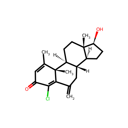 C=C1C[C@@H]2[C@H](CC[C@]3(C)[C@@H](O)CC[C@@H]23)[C@@]2(C)C(C)=CC(=O)C(Cl)=C12